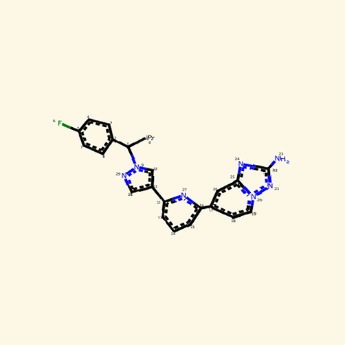 CC(C)C(c1ccc(F)cc1)n1cc(-c2cccc(-c3ccn4nc(N)nc4c3)n2)cn1